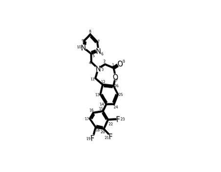 O=C1CN(Cc2ncccn2)Cc2cc(-c3ccc(F)c(F)c3F)ccc2O1